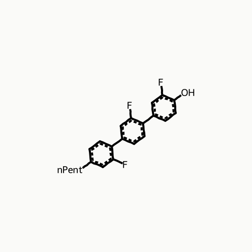 CCCCCc1ccc(-c2ccc(-c3ccc(O)c(F)c3)c(F)c2)c(F)c1